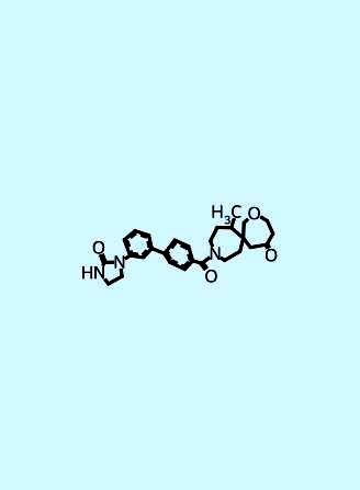 CC1CCN(C(=O)c2ccc(-c3cccc(N4CCNC4=O)c3)cc2)CCC12COCCC(=O)C2